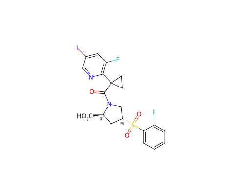 O=C(O)[C@@H]1C[C@@H](S(=O)(=O)c2ccccc2F)CN1C(=O)C1(c2ncc(I)cc2F)CC1